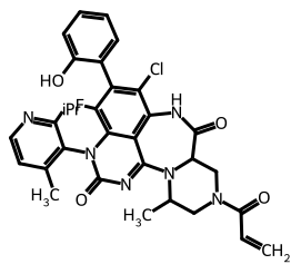 C=CC(=O)N1CC(C)N2c3nc(=O)n(-c4c(C)ccnc4C(C)C)c4c(F)c(-c5ccccc5O)c(Cl)c(c34)NC(=O)C2C1